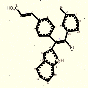 CC/C(=C(/c1ccc(/C=C/C(=O)O)cc1)c1cc2ccccc2[nH]1)c1cccc(C)c1